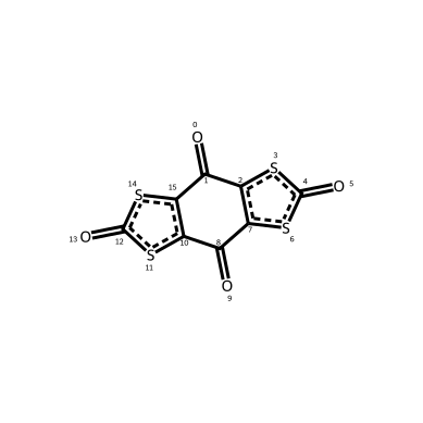 O=C1c2sc(=O)sc2C(=O)c2sc(=O)sc21